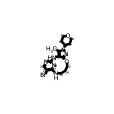 Cc1c2c(nn1C1CCOCC1)OCCCNc1nc(ncc1Br)N2